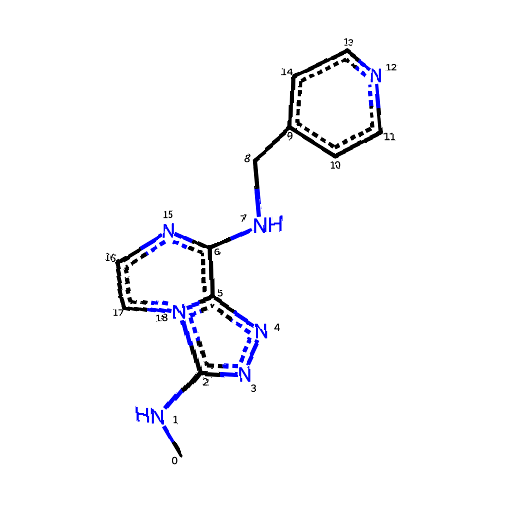 CNc1nnc2c(NCc3ccncc3)nccn12